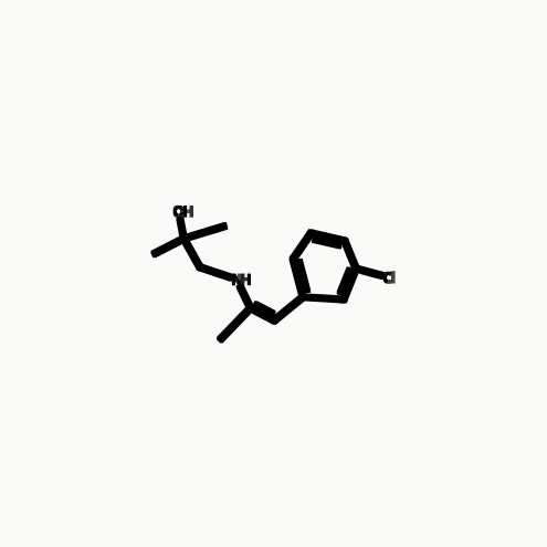 CC(=Cc1cccc(Cl)c1)NCC(C)(C)O